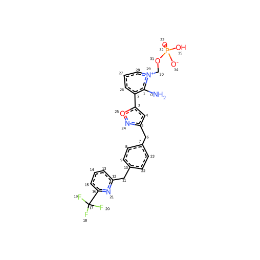 Nc1c(-c2cc(Cc3ccc(Cc4cccc(C(F)(F)F)n4)cc3)no2)ccc[n+]1COP(=O)([O-])O